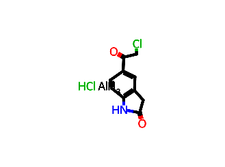 Cl.O=C1Cc2cc(C(=O)CCl)ccc2N1.[AlH3]